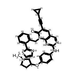 CN1CCC(Oc2ccc(Nc3ncc4cc(C#CC5CC5)c(=O)n(Cc5ccccc5-c5nccs5)c4n3)cc2)C1